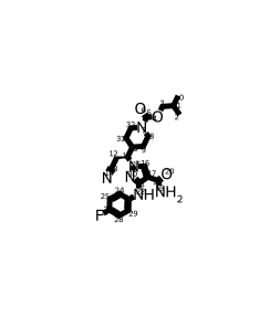 CC(C)COC(=O)N1CCC([C@H](CC#N)n2cc(C(N)=O)c(Nc3ccc(F)cc3)n2)CC1